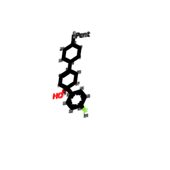 CCCCCC1CCC(C2=CCC(O)(c3ccc(F)cc3)CC2)CC1